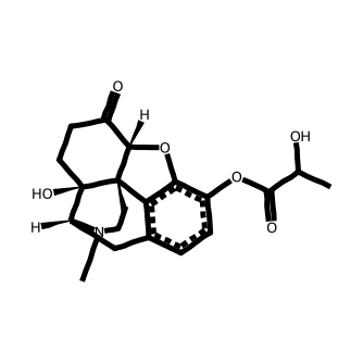 CC(O)C(=O)Oc1ccc2c3c1O[C@H]1C(=O)CC[C@@]4(O)[C@@H](C2)N(C)CC[C@]314